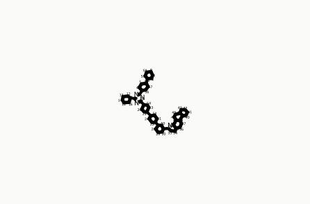 c1ccc(-c2ccc(-c3nc(-c4ccccc4)nc(-c4ccc(-c5ccc(-c6cccc(-c7ccc8ccc9c%10ccccc%10ccc9c8n7)c6)cc5)cc4)n3)cc2)cc1